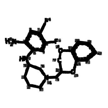 Nc1cc(F)c(F)cc1NC1CCCN(CC2COc3ccccc3O2)C1